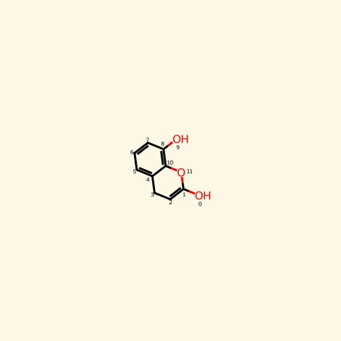 OC1=CCc2cccc(O)c2O1